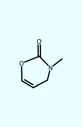 CN1CC=COC1=O